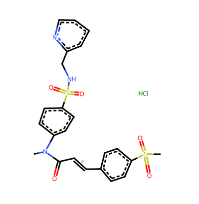 CN(C(=O)/C=C/c1ccc(S(C)(=O)=O)cc1)c1ccc(S(=O)(=O)NCc2ccccn2)cc1.Cl